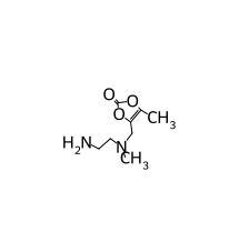 Cc1oc(=O)oc1CN(C)CCN